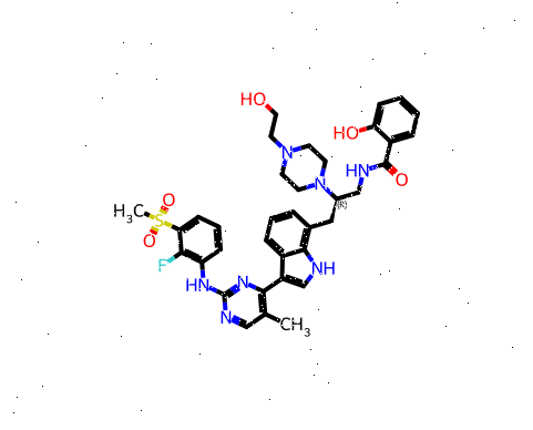 Cc1cnc(Nc2cccc(S(C)(=O)=O)c2F)nc1-c1c[nH]c2c(C[C@H](CNC(=O)c3ccccc3O)N3CCN(CCO)CC3)cccc12